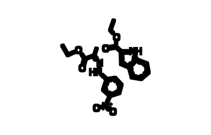 CCOC(=O)C(C)=NNc1cccc([N+](=O)[O-])c1.CCOC(=O)c1cc2ccccc2[nH]1